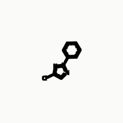 Clc1cnn(-c2ccccc2)n1